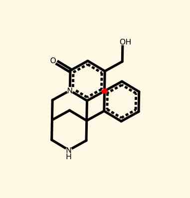 O=c1cc(CO)cc2n1CC1CNCC2(c2ccccc2)C1